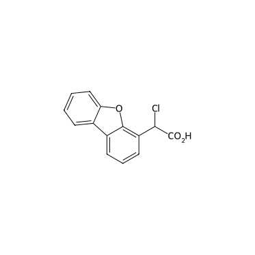 O=C(O)C(Cl)c1cccc2c1oc1ccccc12